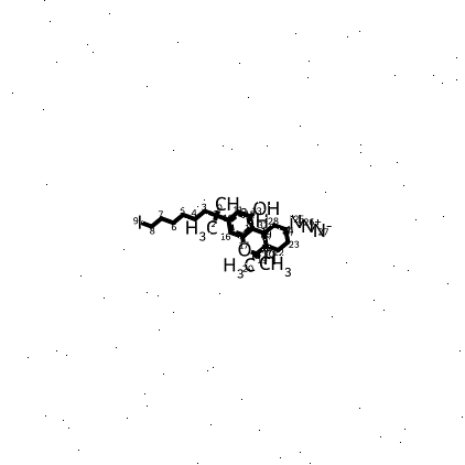 CC(C)(CCCCCCI)c1cc(O)c2c(c1)OC(C)(C)[C@@H]1CC[C@@H](N=[N+]=[N-])C[C@@H]21